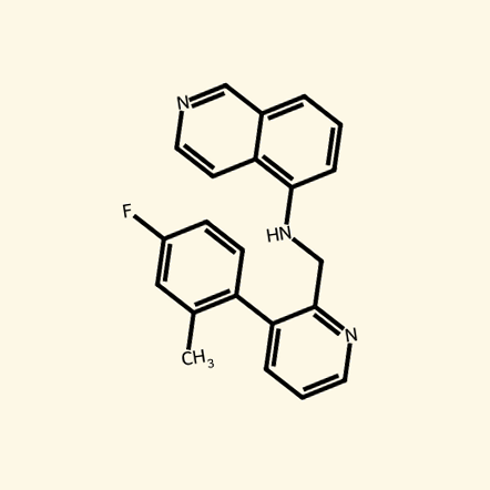 Cc1cc(F)ccc1-c1cccnc1CNc1cccc2cnccc12